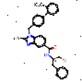 CCCc1nc2cc(C(=O)N[C@@H](CS)Cc3ccccc3)ccc2n1Cc1ccc(-c2ccccc2C(=O)O)cc1